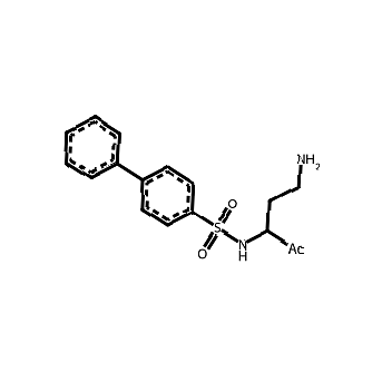 CC(=O)C(CCN)NS(=O)(=O)c1ccc(-c2ccccc2)cc1